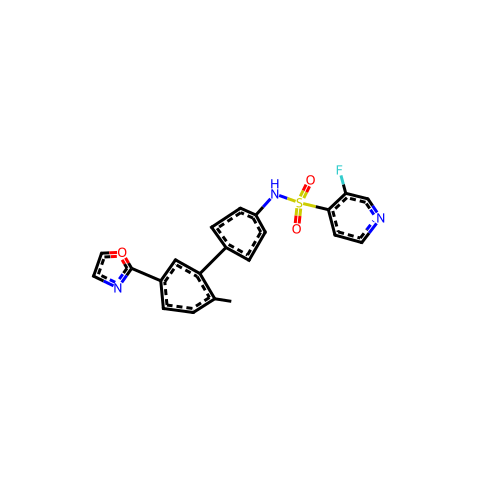 Cc1ccc(-c2ncco2)cc1-c1ccc(NS(=O)(=O)c2ccncc2F)cc1